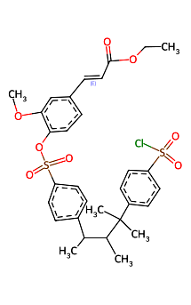 CCOC(=O)/C=C/c1ccc(OS(=O)(=O)c2ccc(C(C)C(C)C(C)(C)c3ccc(S(=O)(=O)Cl)cc3)cc2)c(OC)c1